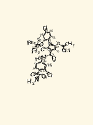 Cc1c(C(=O)Nc2ccc(S(N)(=O)=O)c(Cl)c2)cc(C[C@H](C)O)n1-c1ccc(Cl)cc1OC(F)(F)F